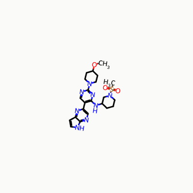 COC1CCN(c2ncc(-c3cnc4[nH]ccc4n3)c(NC3CCCN(S(C)(=O)=O)C3)n2)CC1